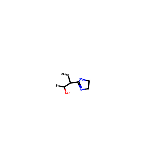 CCCCCCC(C1=NCCN1)C(O)CC